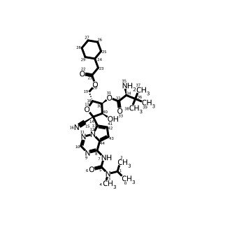 CC(C)N(C)C(=O)Nc1ncnn2c([C@]3(C#N)O[C@H](COC(=O)CC4CCCCC4)[C@@H](OC(=O)[C@@H](N)C(C)(C)C)[C@H]3O)ccc12